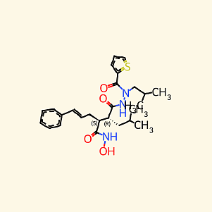 CC(C)C[C@@H](C(=O)NN(CC(C)C)C(=O)c1cccs1)[C@H](CC=Cc1ccccc1)C(=O)NO